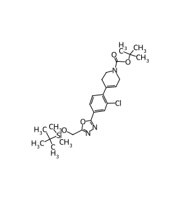 CC(C)(C)OC(=O)N1CC=C(c2ccc(-c3nnc(CO[Si](C)(C)C(C)(C)C)o3)cc2Cl)CC1